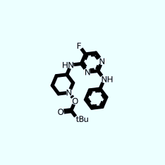 CC(C)(C)C(=O)ON1CCCC(Nc2nc(Nc3ccccc3)ncc2F)C1